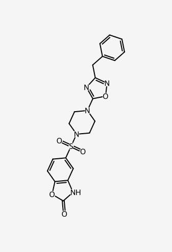 O=c1[nH]c2cc(S(=O)(=O)N3CCN(c4nc(Cc5ccccc5)no4)CC3)ccc2o1